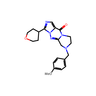 COc1ccc(CN2CCn3c(nn4c(C5CCOCC5)ncc4c3=O)C2)cc1